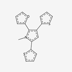 Cn1c(-c2cccs2)cc(-c2cccs2)c1-c1ccco1